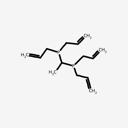 C=CCP(CC=C)C(C)P(CC=C)CC=C